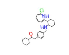 O=C(Cc1ccc(CNC2CCCCC2C2=CC=CC=C(Cl)N2)cc1)C1CCCCC1